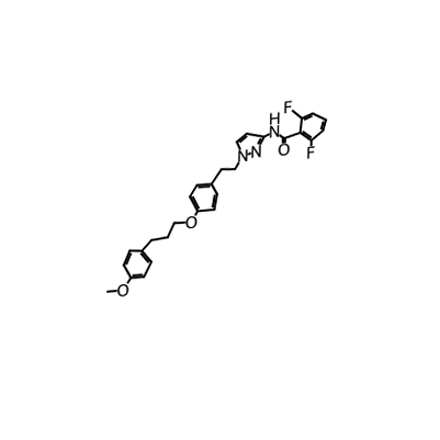 COc1ccc(CCCOc2ccc(CCn3ccc(NC(=O)c4c(F)cccc4F)n3)cc2)cc1